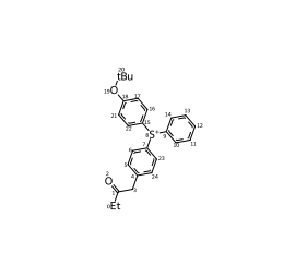 CCC(=O)Cc1ccc([S+](c2ccccc2)c2ccc(OC(C)(C)C)cc2)cc1